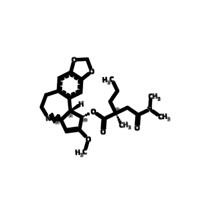 CCC[C@@](C)(CC(=O)N(C)C)C(=O)O[C@@H]1C(OC)=C[C@]23CCCN2CCc2cc4c(cc2[C@H]13)OCO4